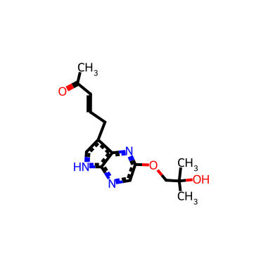 CC(=O)/C=C/Cc1c[nH]c2ncc(OCC(C)(C)O)nc12